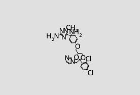 Cn1nc(N)nc1C1(N)C=CC(OCC2COC(Cn3ccnc3)(c3ccc(Cl)cc3Cl)O2)=CC1